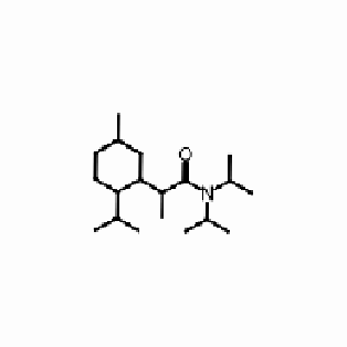 CC1CCC(C(C)C)C(C(C)C(=O)N(C(C)C)C(C)C)C1